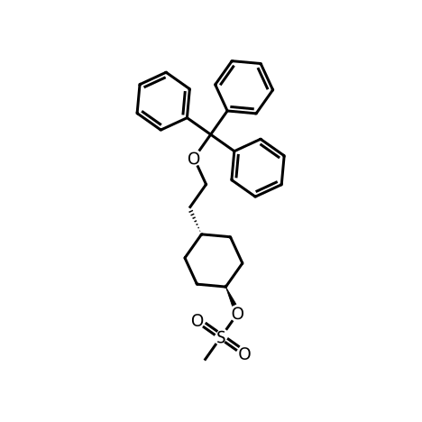 CS(=O)(=O)O[C@H]1CC[C@H](CCOC(c2ccccc2)(c2ccccc2)c2ccccc2)CC1